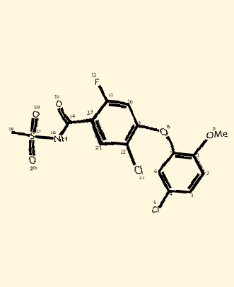 COc1ccc(Cl)cc1Oc1cc(F)c(C(=O)NS(C)(=O)=O)cc1Cl